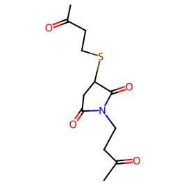 CC(=O)CCSC1CC(=O)N(CCC(C)=O)C1=O